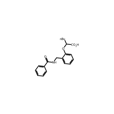 CCCCC(Oc1ccccc1CNC(=O)c1ccccc1)C(=O)O